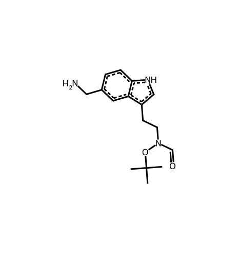 CC(C)(C)ON(C=O)CCc1c[nH]c2ccc(CN)cc12